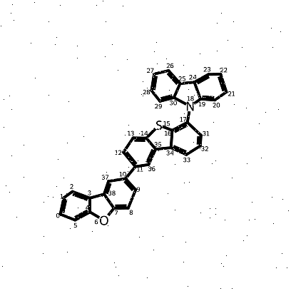 c1ccc2c(c1)oc1ccc(-c3ccc4sc5c(-n6c7ccccc7c7ccccc76)cccc5c4c3)cc12